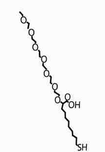 CCOCCOCCOCCOCCOCCOCCOC(CCCCCCCCCS)C(=O)O